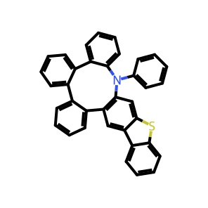 c1ccc(-n2c3ccccc3c3ccccc3c3ccccc3c3cc4c(cc32)sc2ccccc24)cc1